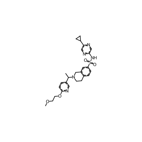 COCCOc1ccc(C(C)N2CCc3ccc(S(=O)(=O)Nc4cnc(C5CC5)cn4)cc3C2)cn1